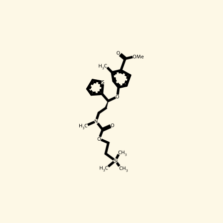 COC(=O)c1ccc(O[C@@H](CCN(C)C(=O)OCC[Si](C)(C)C)c2cccs2)cc1C